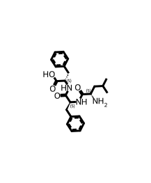 CC(C)C[C@H](N)C(=O)N[C@@H](Cc1ccccc1)C(=O)N[C@@H](Cc1ccccc1)C(=O)O